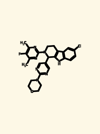 Cc1nc(N2CCc3c([nH]c4ccc(Cl)cc34)C2c2cnc(N3CCOCC3)nc2)nc(C)c1F